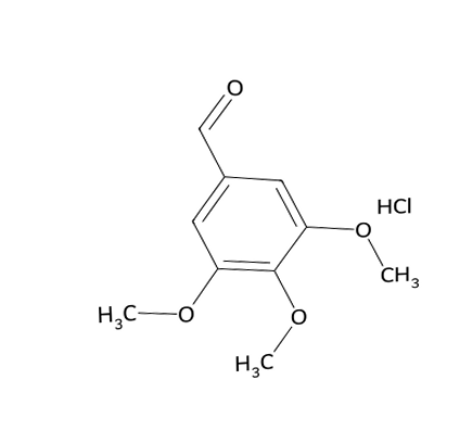 COc1cc(C=O)cc(OC)c1OC.Cl